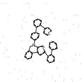 c1ccc(-c2ccccc2-c2ccc(N3Cc4ccccc4-c4cc(-c5ccccc5-c5ccccc5)ccc43)cc2)cc1